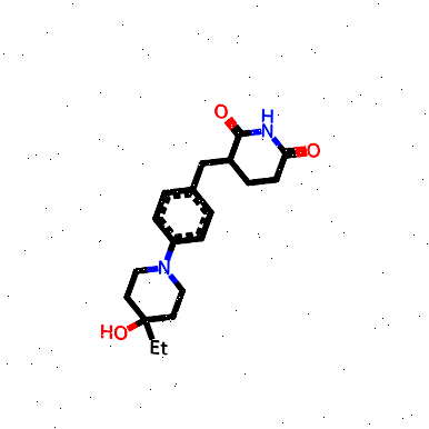 CCC1(O)CCN(c2ccc(CC3CCC(=O)NC3=O)cc2)CC1